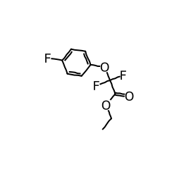 CCOC(=O)C(F)(F)Oc1ccc(F)cc1